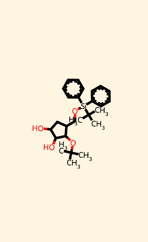 CC(C)(C)OC1C(CO[Si](c2ccccc2)(c2ccccc2)C(C)(C)C)CC(O)C1O